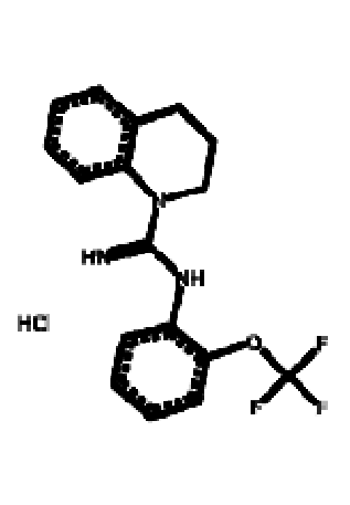 Cl.N=C(Nc1ccccc1OC(F)(F)F)N1CCCc2ccccc21